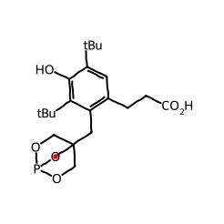 CC(C)(C)c1cc(CCC(=O)O)c(CC23COP(OC2)OC3)c(C(C)(C)C)c1O